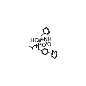 CC(C)CN(Cc1ccc(-c2ccccn2)cc1)C[C@@H](O)[C@H](Cc1ccccc1)NC(=O)O